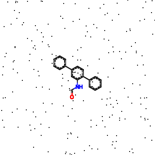 O=[C]Nc1cc(-c2ccccc2)ccc1-c1ccccc1